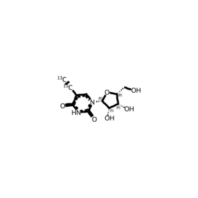 [13CH]#[13C]c1cn([C@@H]2O[C@H](CO)[C@H](O)[C@@H]2O)c(=O)[nH]c1=O